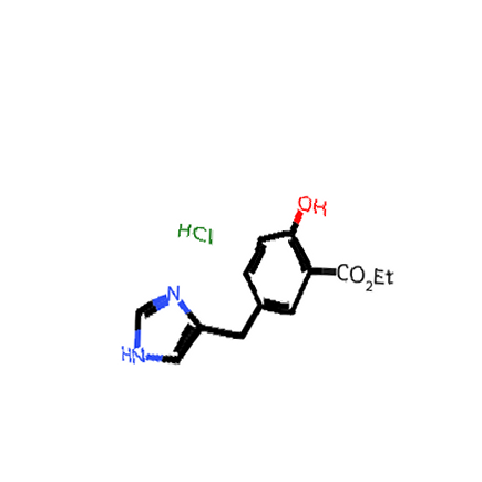 CCOC(=O)c1cc(Cc2c[nH]cn2)ccc1O.Cl